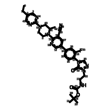 CCc1cnc(N2CCN(c3ncc(-c4ccc(-n5cnn(CCNC(=O)OC(C)(C)C)c5=O)c(F)c4)cc3C#N)C(C)C2)nc1